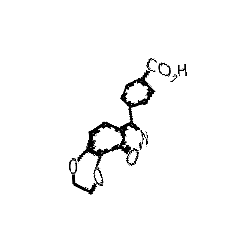 O=C(O)c1ccc(-c2noc3c4c(ccc23)OCCO4)cc1